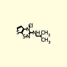 CC(C)CNC1=NSc2sccc2N1Cl